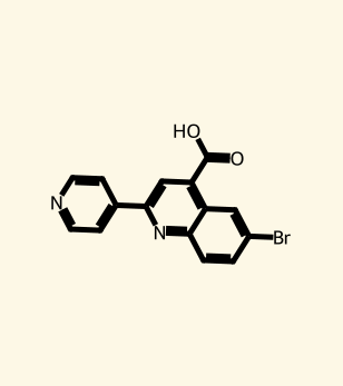 O=C(O)c1cc(-c2ccncc2)nc2ccc(Br)cc12